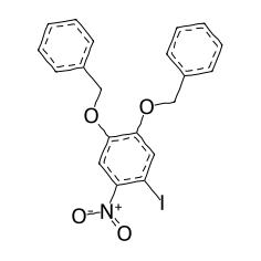 O=[N+]([O-])c1cc(OCc2ccccc2)c(OCc2ccccc2)cc1I